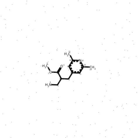 COC(=O)C(CN)Cc1cc(C)nc(C)c1